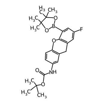 CC(C)(C)OC(=O)Nc1ccc2c(c1)Cc1cc(F)cc(B3OC(C)(C)C(C)(C)O3)c1O2